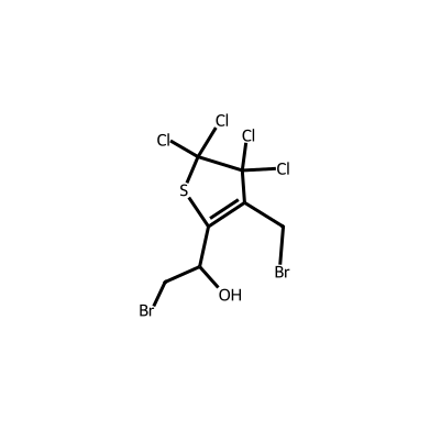 OC(CBr)C1=C(CBr)C(Cl)(Cl)C(Cl)(Cl)S1